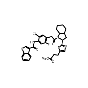 COC(=O)CCc1cnc([C@@H]2CC3CCCCC3N2C(=O)Cc2cc(Cl)c(NC(=O)c3csc4ccccc34)cc2F)s1